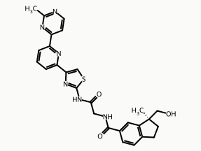 Cc1nccc(-c2cccc(-c3csc(NC(=O)CNC(=O)c4ccc5c(c4)[C@@](C)(CO)CC5)n3)n2)n1